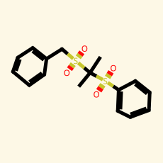 CC(C)(S(=O)(=O)Cc1ccccc1)S(=O)(=O)c1ccccc1